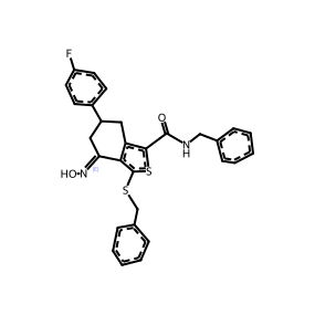 O=C(NCc1ccccc1)c1sc(SCc2ccccc2)c2c1CC(c1ccc(F)cc1)C/C2=N\O